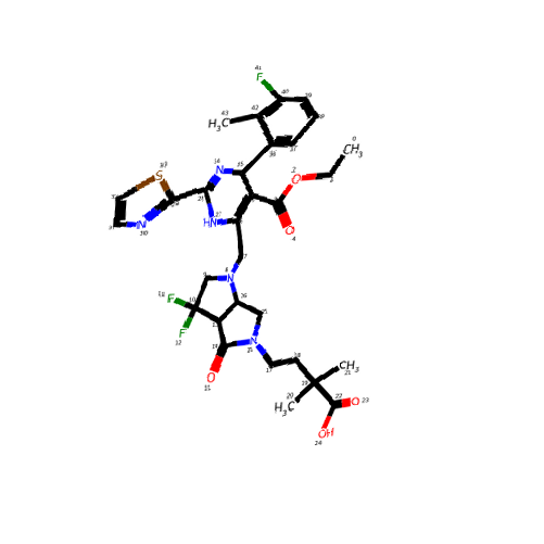 CCOC(=O)C1=C(CN2CC(F)(F)C3C(=O)N(CCC(C)(C)C(=O)O)CC32)NC(c2nccs2)=NC1c1cccc(F)c1C